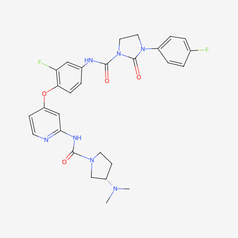 CN(C)[C@H]1CCN(C(=O)Nc2cc(Oc3ccc(NC(=O)N4CCN(c5ccc(F)cc5)C4=O)cc3F)ccn2)C1